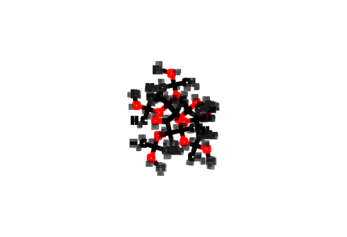 CCOC(C)(OC)OC(C)(OC(C)(OC)OCC)C(CC)(OC(C)(OC)OCC)C(=O)C(CC)(OC(C)(OC)OCC)C(C)(OC(C)(OC)OCC)OC(C)(OC)OCC